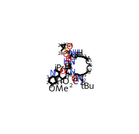 COc1ccc2nc(C(C)C)c3c(c2c1)CC[C@]1(C[C@H]2C(=O)N[C@]4(C(=O)NS(=O)(=O)C5(C)CC5)C[C@H]4/C=C\CCCCC[C@H](N(CC(C)(C)C)C(=O)O)C(=O)N2C1)O3